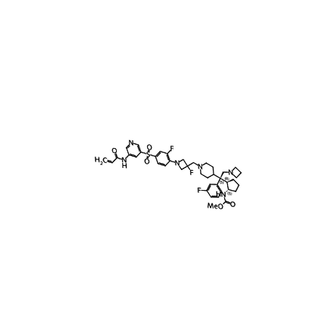 C=CC(=O)Nc1cncc(S(=O)(=O)c2ccc(N3CC(F)(CN4CCC([C@@](CN5CCC5)(c5cccc(F)c5)[C@H]5CCC[C@@H]5NC(=O)OC)CC4)C3)c(F)c2)c1